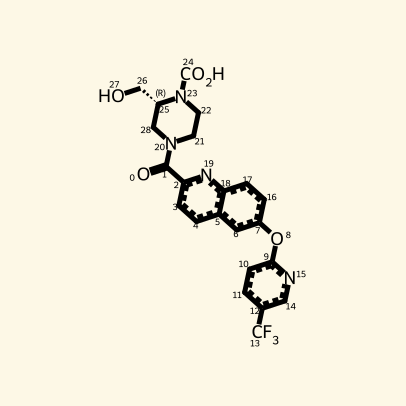 O=C(c1ccc2cc(Oc3ccc(C(F)(F)F)cn3)ccc2n1)N1CCN(C(=O)O)[C@@H](CO)C1